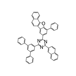 c1ccc(-c2cc(-c3ccccc3)cc(-c3nc(-c4ccc5ccccc5c4)nc(-c4cc(-c5ccccc5)c5oc6c7ccccc7ccc6c5c4)n3)c2)cc1